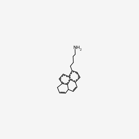 NCCCCc1ccc2c3c4c(ccc13)CC=CC4C=C2